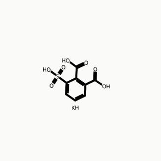 O=C(O)c1cccc(S(=O)(=O)O)c1C(=O)O.[KH]